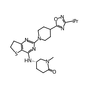 CC(C)c1noc(C2CCN(c3nc4c(c(N[C@H]5CCC(=O)N(C)C5)n3)SCC4)CC2)n1